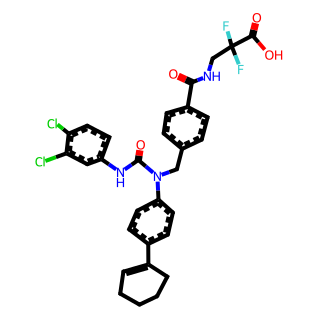 O=C(NCC(F)(F)C(=O)O)c1ccc(CN(C(=O)Nc2ccc(Cl)c(Cl)c2)c2ccc(C3=CCCCC3)cc2)cc1